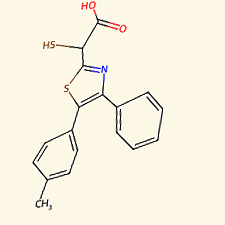 Cc1ccc(-c2sc(C(S)C(=O)O)nc2-c2ccccc2)cc1